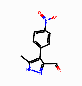 Cc1[nH]nc([C]=O)c1-c1ccc([N+](=O)[O-])cc1